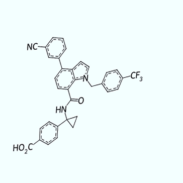 N#Cc1cccc(-c2ccc(C(=O)NC3(c4ccc(C(=O)O)cc4)CC3)c3c2ccn3Cc2ccc(C(F)(F)F)cc2)c1